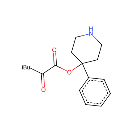 CCC(C)C(=O)C(=O)OC1(c2ccccc2)CCNCC1